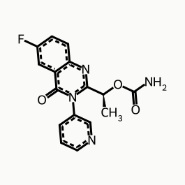 C[C@H](OC(N)=O)c1nc2ccc(F)cc2c(=O)n1-c1cccnc1